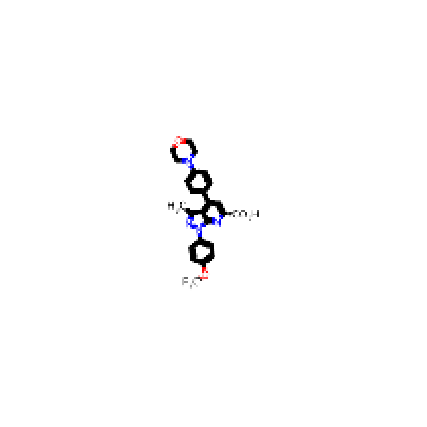 Cc1nn(-c2ccc(OC(F)(F)F)cc2)c2nc(C(=O)O)cc(-c3ccc(N4CCOCC4)cc3)c12